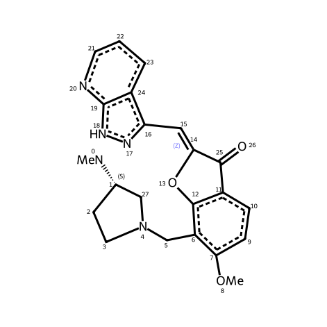 CN[C@H]1CCN(Cc2c(OC)ccc3c2O/C(=C\c2n[nH]c4ncccc24)C3=O)C1